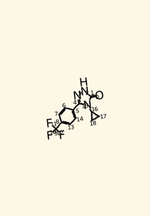 O=c1[nH]nc(-c2ccc(C(F)(F)F)cc2)n1C1CC1